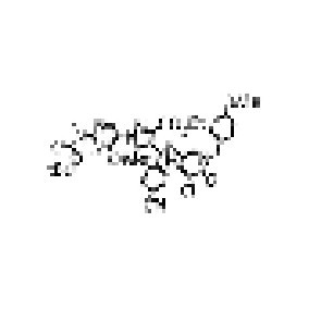 CCOC(=O)c1nn(-c2cnc(N(C)C(=O)OC(C)(C)C)nc2OC)c(C(C)C)c1C(Nc1cc(Cl)c(=O)n(Cc2ccc(OC)cc2)c1)c1ccc(C#N)cc1